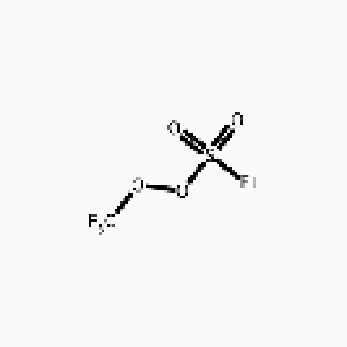 CCS(=O)(=O)OOC(F)(F)F